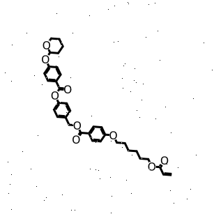 C=CC(=O)OCCCCCCOc1ccc(C(=O)OCc2ccc(OC(=O)c3ccc(OC4CCCCO4)cc3)cc2)cc1